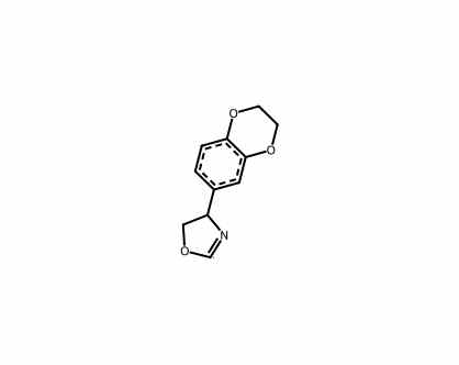 [C]1=NC(c2ccc3c(c2)OCCO3)CO1